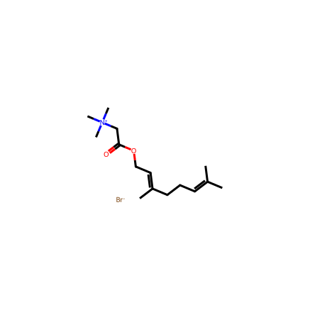 CC(C)=CCCC(C)=CCOC(=O)C[N+](C)(C)C.[Br-]